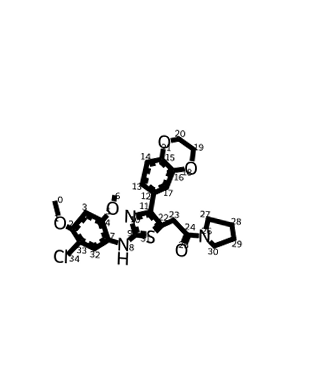 COc1cc(OC)c(Nc2nc(-c3ccc4c(c3)OCCO4)c(CC(=O)N3CCCC3)s2)cc1Cl